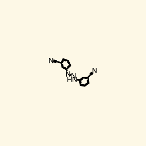 N#Cc1cccc(/N=N/Nc2cccc(C#N)c2)c1